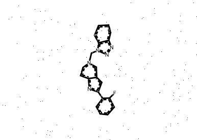 Fc1ccccc1-c1cc2cn(Cn3nnc4ccccc43)ccc-2n1